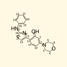 Oc1cc(N2CCOCC2)ccc1-c1csc(Nc2ccccc2)n1